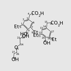 CCc1cc(CC(=O)O)cc(CC)c1O.CCc1cc(CC(=O)O)cc(CC)c1O.OCCOCCO